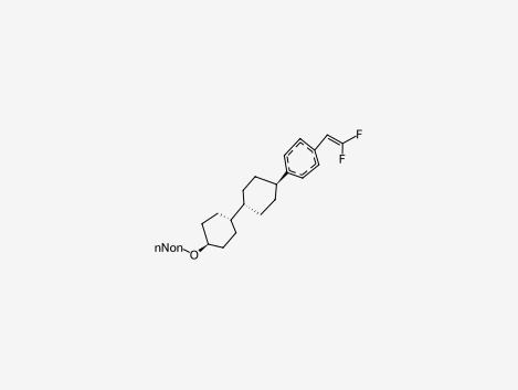 CCCCCCCCCO[C@H]1CC[C@H]([C@H]2CC[C@H](c3ccc(C=C(F)F)cc3)CC2)CC1